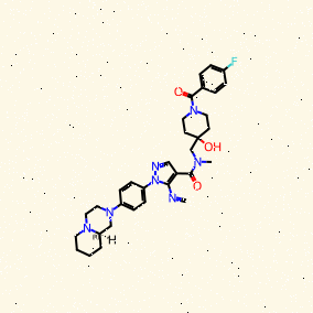 C=Nc1c(C(=O)N(C)CC2(O)CCN(C(=O)c3ccc(F)cc3)CC2)cnn1-c1ccc(N2CCN3CCCC[C@@H]3C2)cc1